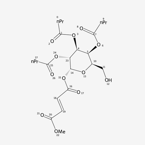 CCCC(=O)O[C@H]1[C@@H](OC(=O)CCC)[C@@H](CO)O[C@H](OC(=O)/C=C/C(=O)OC)[C@@H]1OC(=O)CCC